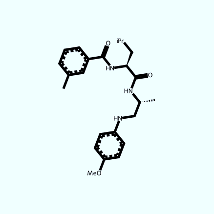 COc1ccc(NC[C@@H](C)NC(=O)[C@H](CC(C)C)NC(=O)c2cccc(C)c2)cc1